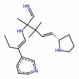 CC/C(=C\NC(C)(C=N)C(C)(C)/C=C/[C@@H]1CCCN1)c1cccnc1